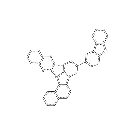 c1ccc2c(c1)ccc1c3cc(-c4ccc5sc6ccccc6c5c4)cc4c5nc6ccccc6nc5n(c21)c34